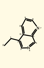 [CH2]Cc1cncc2ncccc12